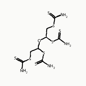 NC(=S)SCC(OC(CSC(N)=S)SC(N)=S)SC(N)=S